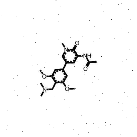 COc1cc(-c2cc(NC(C)=O)c(=O)n(C)c2)cc(OC)c1CN(C)C